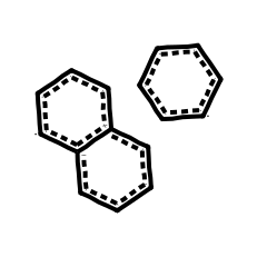 [c]1cccc2ccccc12.[c]1ccccc1